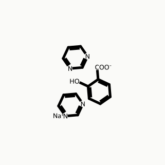 O=C([O-])c1ccccc1O.[Na+].c1cncnc1.c1cncnc1